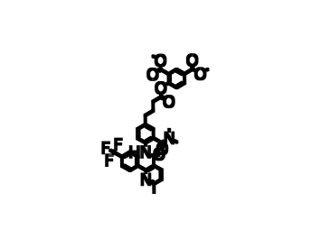 COC(=O)c1ccc(OC(=O)CCCc2ccc(NC(=O)c3ccc(C)nc3-c3ccc(C(F)(F)F)cc3)c(C(=O)N(C)C)c2)c(C(=O)OC)c1